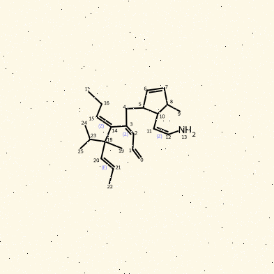 C=C/C=C(CC1C=CC(C)C1/C=C\N)\C(=C/CC)C(C)(/C=C/C)C(C)C